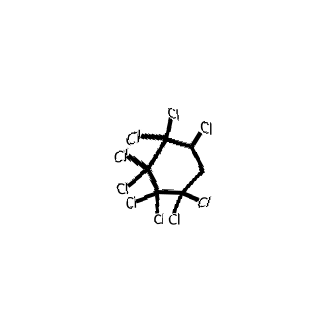 ClC1CC(Cl)(Cl)C(Cl)(Cl)C(Cl)(Cl)C1(Cl)Cl